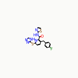 O=C(Nc1nccs1)c1nc(Sc2nnc[nH]2)ccc1Cc1ccc(F)cc1